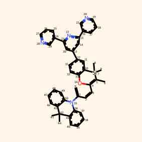 C=C(/C=C\C1=C(C)[Si](C)(C)c2cc(-c3cc(-c4cccnc4)nc(-c4cccnc4)c3)ccc2O1)N1c2ccccc2C(C)(C)c2ccccc21